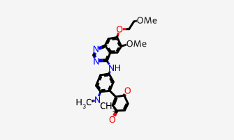 COCCOc1cc2ncnc(Nc3ccc(N(C)C)c(C4=CC(=O)C=CC4=O)c3)c2cc1OC